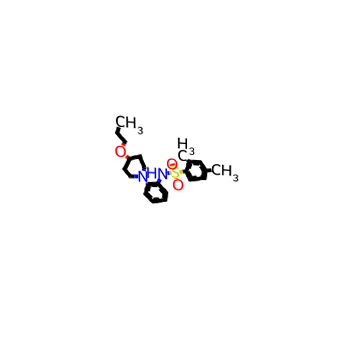 CCCOC1CCN(c2ccccc2NS(=O)(=O)c2ccc(C)cc2C)CC1